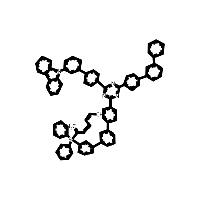 C=C(/C=C\C=C/C)[Si](c1ccccc1)(c1ccccc1)c1cccc(-c2cccc(-c3ccc(-c4nc(-c5ccc(-c6cccc(-c7ccccc7)c6)cc5)nc(-c5ccc(-c6cccc(-n7c8ccccc8c8ccccc87)c6)cc5)n4)cc3)c2)c1